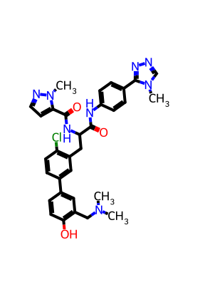 CN(C)Cc1cc(-c2ccc(Cl)c(CC(NC(=O)c3ccnn3C)C(=O)Nc3ccc(-c4nncn4C)cc3)c2)ccc1O